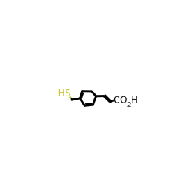 O=C(O)C=CC1C=CC(CS)=CC1